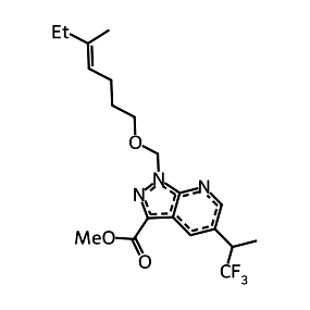 CC/C(C)=C/CCCOCn1nc(C(=O)OC)c2cc(C(C)C(F)(F)F)cnc21